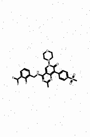 Cc1nc(NCc2cccc(C(F)F)c2F)c2cn(N3CCOCC3)c(=O)c(-c3ccc(S(C)(=O)=O)cc3)c2n1